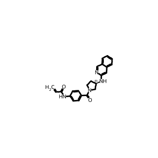 C=CC(=O)Nc1ccc(C(=O)N2CC[C@@H](Nc3cc4ccccc4cn3)C2)cc1